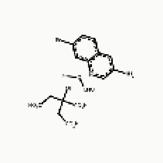 CCOC=O.Nc1cnc2cc(Br)ccc2c1.O=C(O)CC(O)(CC(=O)O)C(=O)O